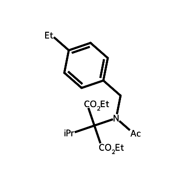 CCOC(=O)C(C(=O)OCC)(C(C)C)N(Cc1ccc(CC)cc1)C(C)=O